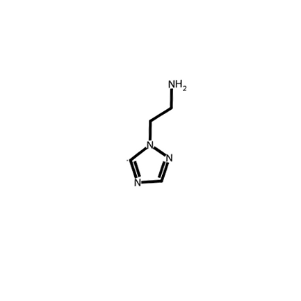 NCCn1[c]ncn1